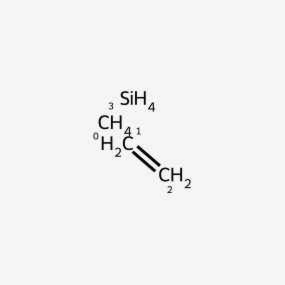 C.C=C.[SiH4]